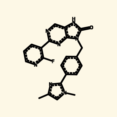 Cc1cn(C)c(-c2ccc(Cn3c(=O)[nH]c4cnc(-c5cccnc5F)nc43)cc2)n1